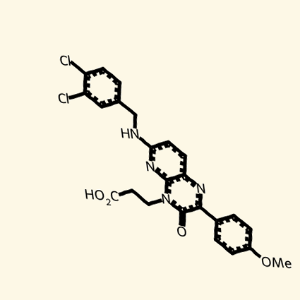 COc1ccc(-c2nc3ccc(NCc4ccc(Cl)c(Cl)c4)nc3n(CCC(=O)O)c2=O)cc1